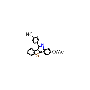 COc1ccc2c(c1)nc(-c1ccc(C#N)cc1)c1c3ccccc3sc21